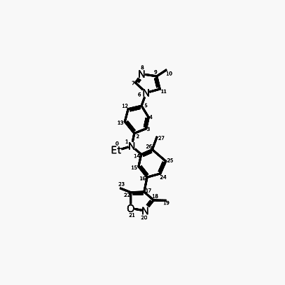 CCN(c1ccc(-n2cnc(C)c2)cc1)c1cc(-c2c(C)noc2C)ccc1C